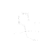 CCCCCCCCCCC(C(=O)O)(C(=O)O)c1ccccc1.[BaH2]